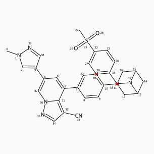 Cn1cc(-c2cc(-c3ccc(N4CC5CC(C4)N5Cc4ccc(S(C)(=O)=O)cc4)nc3)c3c(C#N)cnn3c2)cn1